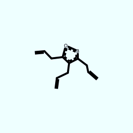 C=CCc1boc(CC=C)c1CC=C